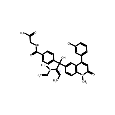 C=CN(C)/C(=C\N)C(O)(c1ccc(C(=O)NCC(N)=O)cc1)c1ccc2c(c1)c(-c1cccc(Cl)c1)cc(=O)n2C